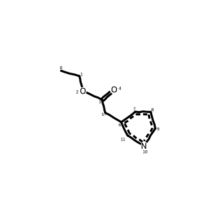 CCOC(=O)[CH]c1cccnc1